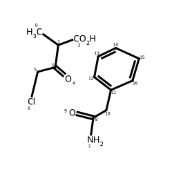 CC(C(=O)O)C(=O)CCl.NC(=O)Cc1ccccc1